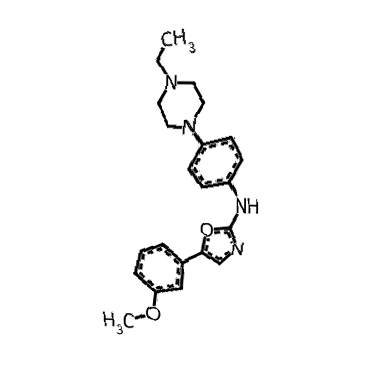 CCN1CCN(c2ccc(Nc3ncc(-c4cccc(OC)c4)o3)cc2)CC1